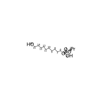 CC(C)OP(=O)(O)OCCCCCCCCCCO